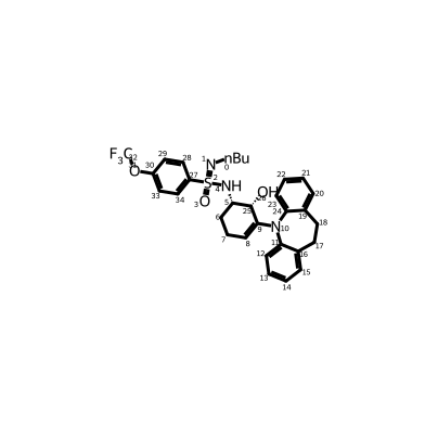 CCCCN=S(=O)(N[C@H]1CCC=C(N2c3ccccc3CCc3ccccc32)[C@H]1O)c1ccc(OC(F)(F)F)cc1